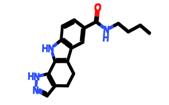 CCCCNC(=O)c1ccc2[nH]c3c(c2c1)CCc1cn[nH]c1-3